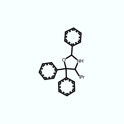 CC(C)C1NC(c2ccccc2)OC1(c1ccccc1)c1ccccc1